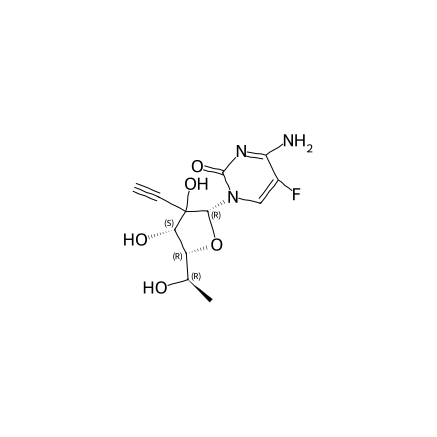 C#CC1(O)[C@@H](O)[C@@H]([C@@H](C)O)O[C@H]1n1cc(F)c(N)nc1=O